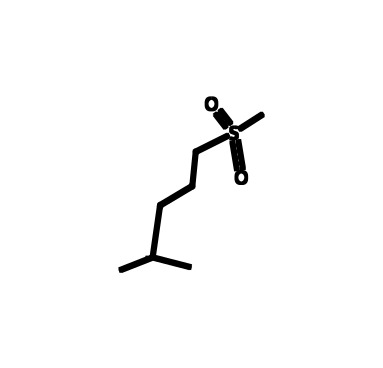 C[C](C)CCCS(C)(=O)=O